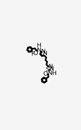 O=C(Cc1ccccc1F)Nc1ccc(CCCCc2nnc(NC(=O)Cc3ccccc3)s2)nn1